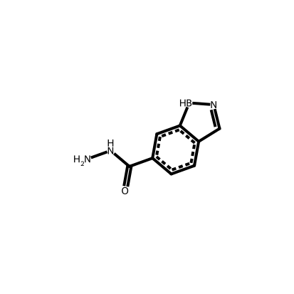 NNC(=O)c1ccc2c(c1)BN=C2